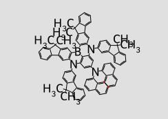 CC1(C)c2ccccc2-c2cc(N3c4cc5c(cc4B4c6cc7c(cc6N(c6ccc8c(c6)-c6ccccc6C8(C)C)c6cc(N(c8cccc9ccccc89)c8cccc9ccccc89)cc3c64)-c3ccccc3C7(C)C)C(C)(C)c3ccccc3-5)ccc21